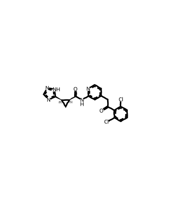 O=C(Cc1ccnc(NC(=O)[C@H]2C[C@H]2c2ncn[nH]2)c1)c1c(Cl)cccc1Cl